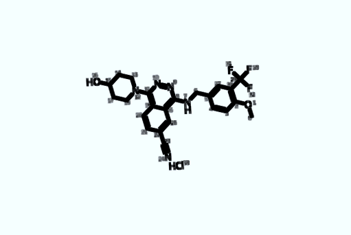 COc1ccc(CNc2nnc(N3CCC(O)CC3)c3ccc(C#N)cc23)cc1C(F)(F)F.Cl